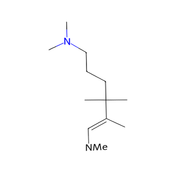 CN/C=C(\C)C(C)(C)CCCN(C)C